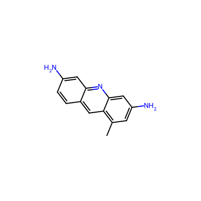 Cc1cc(N)cc2nc3cc(N)ccc3cc12